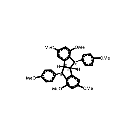 COc1ccc([C@@H]2c3c(OC)cc(OC)cc3[C@H]3[C@H](c4ccc(OC)cc4)c4c(OC)cc(OC)cc4[C@@H]23)cc1